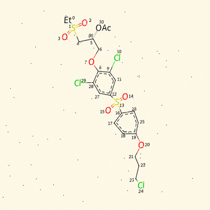 CCS(=O)(=O)C[C@@H](COc1c(Cl)cc(S(=O)(=O)c2ccc(OCCCCl)cc2)cc1Cl)OC(C)=O